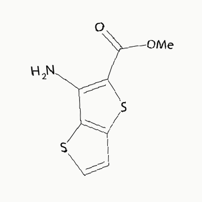 COC(=O)c1sc2ccsc2c1N